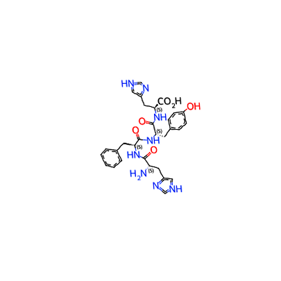 N[C@@H](Cc1c[nH]cn1)C(=O)N[C@@H](Cc1ccccc1)C(=O)N[C@@H](Cc1ccc(O)cc1)C(=O)N[C@@H](Cc1c[nH]cn1)C(=O)O